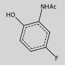 CC(=O)Nc1cc(F)ccc1O